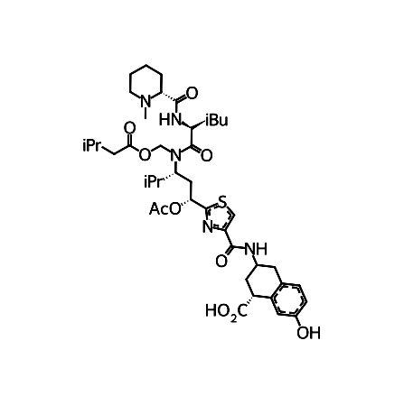 CC[C@H](C)[C@H](NC(=O)[C@H]1CCCCN1C)C(=O)N(COC(=O)CC(C)C)[C@H](C[C@@H](OC(C)=O)c1nc(C(=O)NC2Cc3ccc(O)cc3[C@H](C(=O)O)C2)cs1)C(C)C